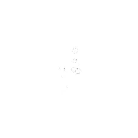 Cl.Cl.Nc1nc(Cl)nc2c1c(-c1nc(Cc3ccccc3)cs1)cn2[C@@H]1C[C@H](C2CCN(CC3CC3)CC2)[C@@H](O)[C@H]1O